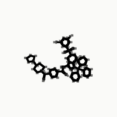 O=C(Nc1nn(C(c2ccccc2)(c2ccccc2)c2ccccc2)c2ccc(S(=O)(=O)c3cc(F)cc(F)c3)cc12)c1ccc(C(=O)N2CCC(N3CCCC3)CC2)cc1